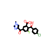 Cn1cnc(C(=O)c2cc(F)c(C(=O)c3ccc(Cl)cc3)c(C(=O)O)c2)c1